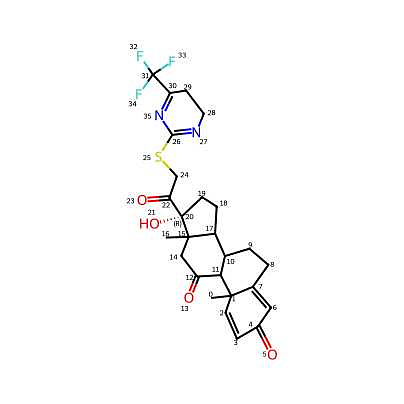 CC12C=CC(=O)C=C1CCC1C2C(=O)CC2(C)C1CC[C@]2(O)C(=O)CSC1=NCCC(C(F)(F)F)=N1